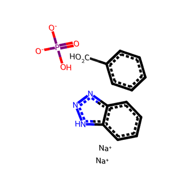 O=C(O)c1ccccc1.O=P([O-])([O-])O.[Na+].[Na+].c1ccc2[nH]nnc2c1